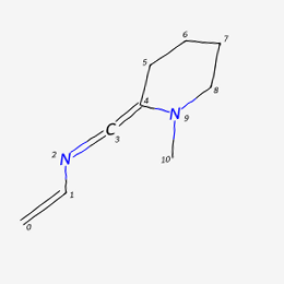 C=CN=C=C1CCCCN1C